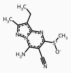 CCc1c(C)nn2c(N)c(C#N)c([S+](C)[O-])nc12